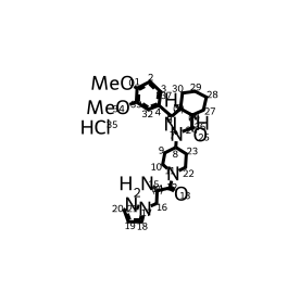 COc1ccc(C2=NN(C3CCN(C(=O)[C@@H](N)Cn4cccn4)CC3)C(=O)[C@@H]3CCCC[C@H]23)cc1OC.Cl